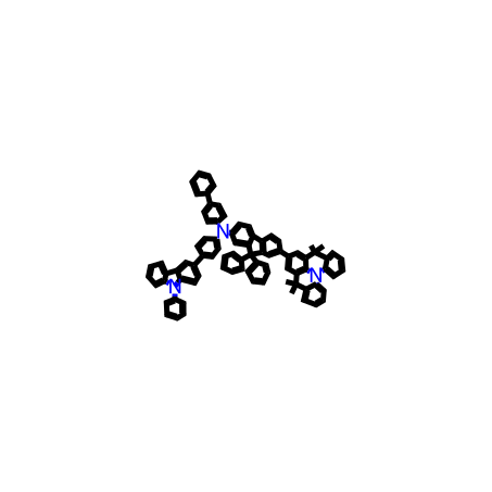 CC1(C)c2ccccc2N2c3ccccc3C(C)(C)c3cc(-c4ccc5c(c4)C(c4ccccc4)(c4ccccc4)c4cc(N(c6ccc(-c7ccccc7)cc6)c6ccc(-c7ccc8c(c7)c7ccccc7n8-c7ccccc7)cc6)ccc4-5)cc1c32